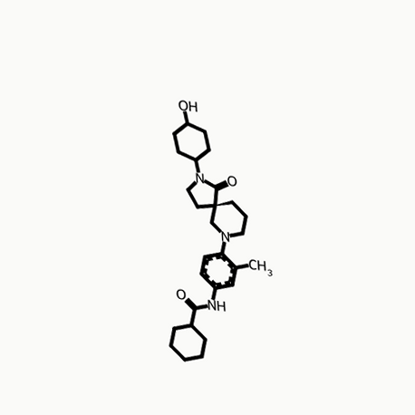 Cc1cc(NC(=O)C2CCCCC2)ccc1N1CCC[C@]2(CCN(C3CCC(O)CC3)C2=O)C1